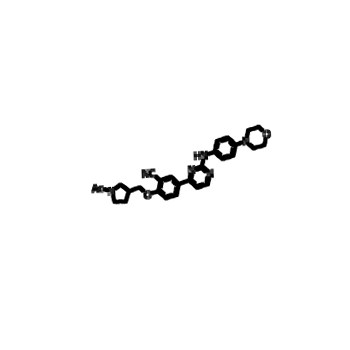 CC(=O)N1CCC(COc2ccc(-c3ccnc(Nc4ccc(N5CCOCC5)cc4)n3)cc2C#N)C1